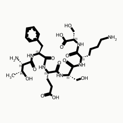 C[C@@H](O)[C@H](N)C(=O)N[C@@H](Cc1ccccc1)C(=O)N[C@@H](CCC(=O)O)C(=O)N[C@@H](CO)C(=O)N[C@@H](CCCCN)C(=O)N[C@@H](CO)C(=O)O